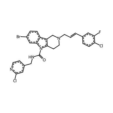 O=C(NCc1ccnc(Cl)c1)n1c2c(c3ccc(Br)cc31)CN(CC=Cc1ccc(Cl)c(F)c1)CC2